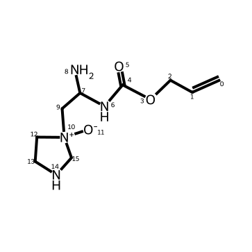 C=CCOC(=O)NC(N)C[N+]1([O-])CCNC1